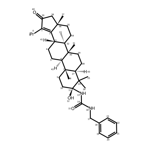 CC(C)C1=C2[C@H]3CC[C@@H]4[C@@]5(C)CC[C@@](O)(NC(=O)NCc6ccccc6)C(C)(C)[C@@H]5CC[C@@]4(C)[C@]3(C)CC[C@@]2(C)CC1=O